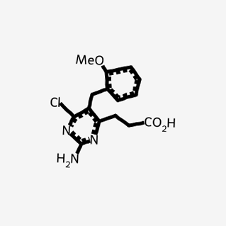 COc1ccccc1Cc1c(Cl)nc(N)nc1CCC(=O)O